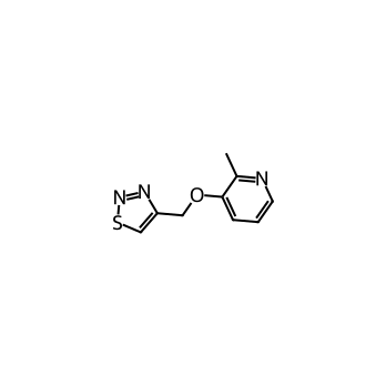 Cc1ncccc1OCc1csnn1